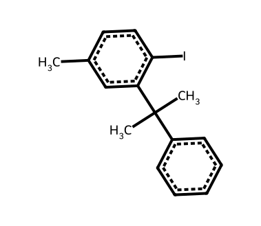 Cc1ccc(I)c(C(C)(C)c2ccccc2)c1